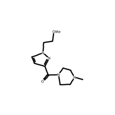 COCCn1ccc(C(=O)N2CCN(C)CC2)n1